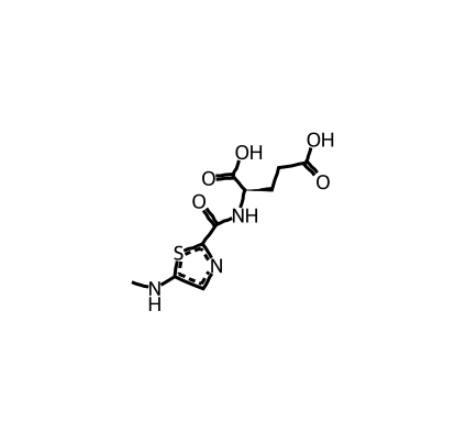 CNc1cnc(C(=O)N[C@H](CCC(=O)O)C(=O)O)s1